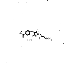 Cc1nn(CC(F)=CCN)c(C)c1Cc1ccc(C(=O)N(C)C)cc1.Cl